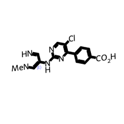 CN/C=C(\C=N)Nc1ncc(Cl)c(-c2ccc(C(=O)O)cc2)n1